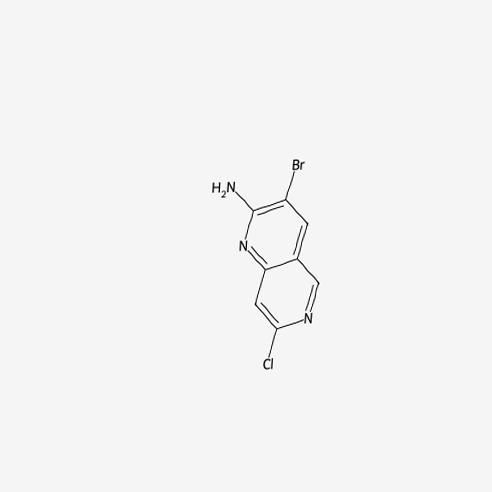 Nc1nc2cc(Cl)ncc2cc1Br